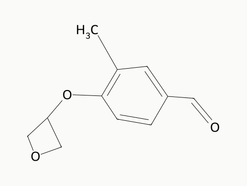 Cc1cc(C=O)ccc1OC1COC1